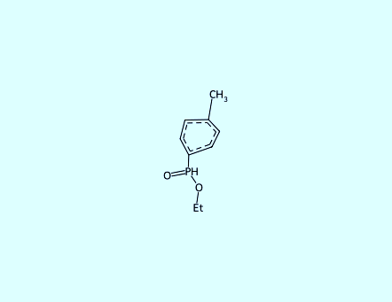 CCO[PH](=O)c1ccc(C)cc1